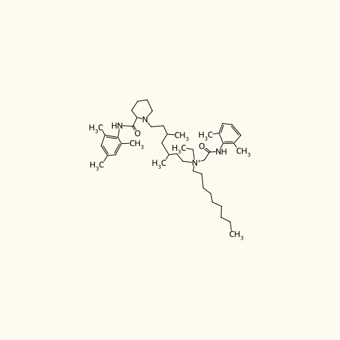 CCCCCCCCC[N+](CC)(CCC(C)CC(C)CCN1CCCCC1C(=O)Nc1c(C)cc(C)cc1C)CC(=O)Nc1c(C)cccc1C